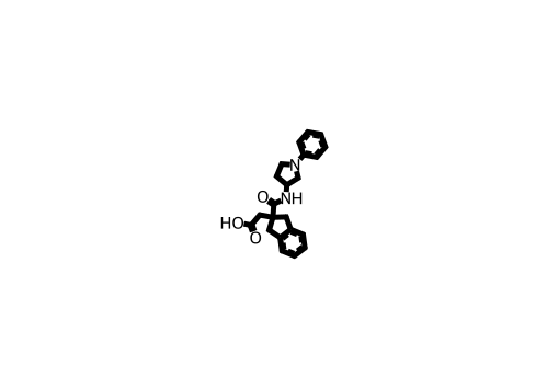 O=C(O)CC1(C(=O)NC2CCN(c3ccccc3)C2)Cc2ccccc2C1